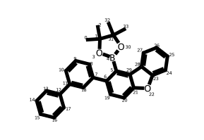 CC1(C)OB(c2c(-c3cccc(-c4ccccc4)c3)ccc3oc4ccccc4c23)OC1(C)C